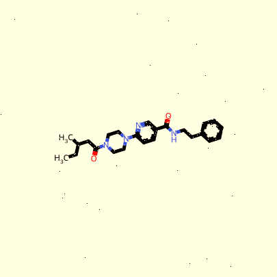 CCC(C)CC(=O)N1CCN(c2ccc(C(=O)NCCc3ccccc3)cn2)CC1